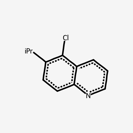 CC(C)c1ccc2ncccc2c1Cl